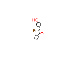 O=C(C(Br)=Cc1ccc(O)cc1)c1ccccc1